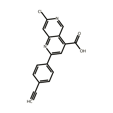 C#Cc1ccc(-c2cc(C(=O)O)c3cnc(Cl)cc3n2)cc1